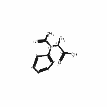 CC(=O)N(c1ccccc1)C(C)C(=O)O